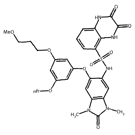 CCCOc1cc(OCCCOC)cc(Oc2cc3c(cc2NS(=O)(=O)c2cccc4[nH]c(=O)c(=O)[nH]c24)n(C)c(=O)n3C)c1